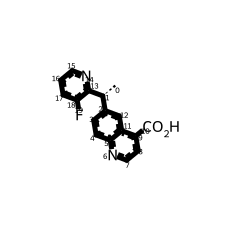 C[C@H](c1ccc2nccc(C(=O)O)c2c1)c1ncccc1F